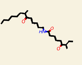 CCCCCCC(C)C(=O)CCCCCNC(=O)CCCCC(=O)C(C)CC